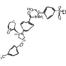 CCS(=O)(=O)c1ccc([C@H](CO)NC(=O)c2ccc(N3C[C@H](Oc4ccc(C(F)(F)F)cc4)C[C@H]3C3COCCO3)cc2)cc1